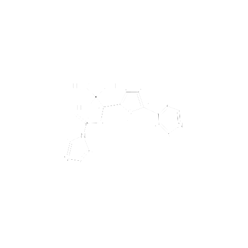 CC(C)(C)C(OC(=S)n1ccnc1)c1ccc(-c2ccncc2)s1